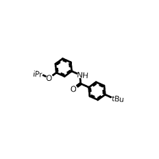 CC(C)Oc1cccc(NC(=O)c2ccc(C(C)(C)C)cc2)c1